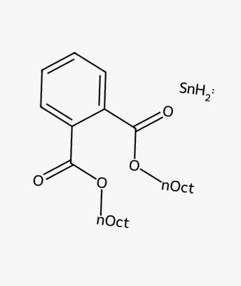 CCCCCCCCOC(=O)c1ccccc1C(=O)OCCCCCCCC.[SnH2]